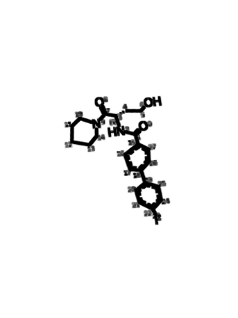 O=C(N[C@@H](CCO)C(=O)N1CCCCC1)c1ccc(-c2ccc(F)cc2)cc1